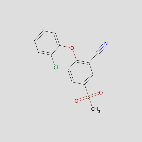 CS(=O)(=O)c1ccc(Oc2c[c]ccc2Cl)c(C#N)c1